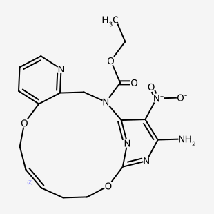 CCOC(=O)N1Cc2ncccc2OC/C=C\CCOc2nc(N)c([N+](=O)[O-])c1n2